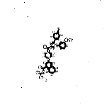 CCOc1cccc(-n2cc(C(=O)N3CCN(c4cc(C(=O)OC(=O)C(F)(F)F)c5ccccc5c4)CC3)nc2-c2ccc(C)cc2)c1